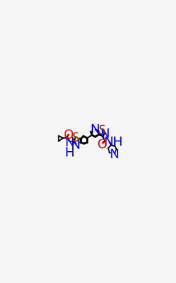 CN1CCC(NC(=O)c2nsc3ncc(-c4ccc5nc(NC(=O)C6CC6)sc5c4)cc23)CC1